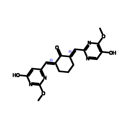 COc1nc(O)cc(/C=C2\CCC/C(=C\c3ncc(O)c(OC)n3)C2=O)n1